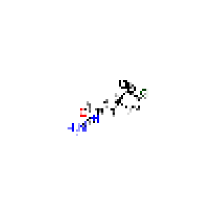 NC1=N[C@@H](CCc2ccc(Cl)c(C(F)(F)F)c2)CO1